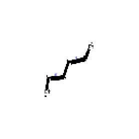 CC/C=C/C=C/CC